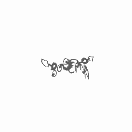 COc1cc(Cl)ccc1OCC1CCCC(OC(c2ccc(Cl)cc2)C(Cl)n2ccnc2)O1